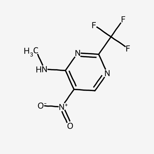 CNc1nc(C(F)(F)F)ncc1[N+](=O)[O-]